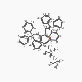 F[B-](F)(F)F.F[B-](F)(F)F.c1ccc([P+](Cc2ccccc2C[P+](c2ccccc2)(c2ccccc2)c2ccccc2)(c2ccccc2)c2ccccc2)cc1